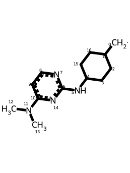 [CH2]C1CCC(Nc2nccc(N(C)C)n2)CC1